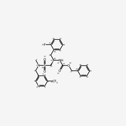 CN(Cc1cncc(C(F)(F)F)c1)S(=O)(=O)C[C@@H](Cc1ccccc1F)NC(=O)OCc1ccccc1